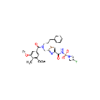 CCOc1cc(C(=O)N(CCCc2ccccc2)Cc2nc(C(=O)NS(=O)(=O)N3CC(F)C3)cs2)cc(OC)c1C